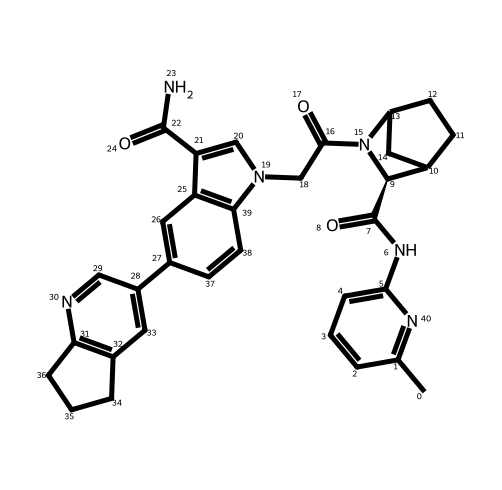 Cc1cccc(NC(=O)[C@@H]2C3CCC(C3)N2C(=O)Cn2cc(C(N)=O)c3cc(-c4cnc5c(c4)CCC5)ccc32)n1